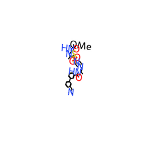 COC(=O)Nc1nc(C)c(S(=O)(=O)N2CCN(CC(C)NC(=O)c3cccc(-c4cccc(CN(C)C)c4)c3)CC2)s1